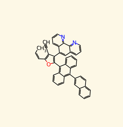 C#Cc1c(/C=C\C)oc(-c2c3ccccc3c(-c3ccc4ccccc4c3)c3ccccc23)c1-c1cc2cccnc2c2ncccc12